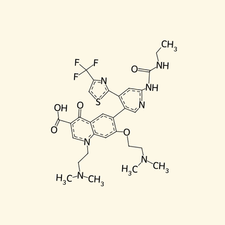 CCNC(=O)Nc1cc(-c2nc(C(F)(F)F)cs2)c(-c2cc3c(=O)c(C(=O)O)cn(CCN(C)C)c3cc2OCCN(C)C)cn1